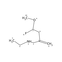 C=C(CNCC)CC(F)OC